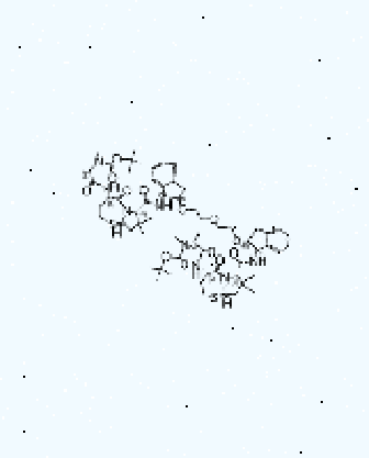 C[C@@H](C(=O)N[C@H]1CCS[C@H]2CC(C)(C)[C@@H](C(=O)N[C@H]3c4ccccc4C[C@H]3OCCOCCO[C@@H]3Cc4ccccc4[C@@H]3NC(=O)[C@H]3N4C(=O)[C@@H](NC(=O)[C@H](C)N(C)C(=O)OC(C)(C)C)CCS[C@H]4CC3(C)C)N2C1=O)N(C)C(=O)OC(C)(C)C